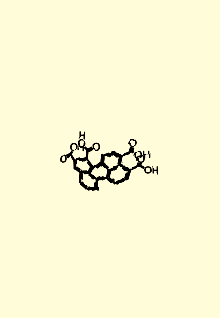 O=C(O)c1cc2cccc3c4ccc(C(=O)O)c5c(C(=O)O)ccc(c(c1C(=O)O)c23)c54